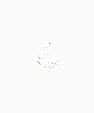 CC(=COOC(C)(C)CC(C)(C)C)C(=O)OC(C)OC(C)OC(=O)O